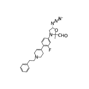 CC1(C=O)O[C@@H](N=[N+]=[N-])CN1c1ccc(C2=CCN(CCc3ccccc3)CC2)c(F)c1